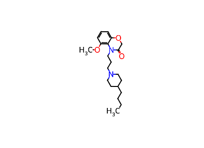 CCCCC1CCN(CCCN2C(=O)COc3cccc(OC)c32)CC1